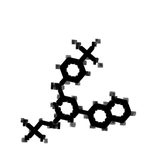 FC(F)(F)CNc1nc(Nc2ccc(C(F)(F)F)cc2)cc(-c2ccc3cccnc3c2)n1